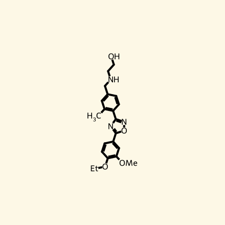 CCOc1ccc(-c2nc(-c3ccc(CNCCO)cc3C)no2)cc1OC